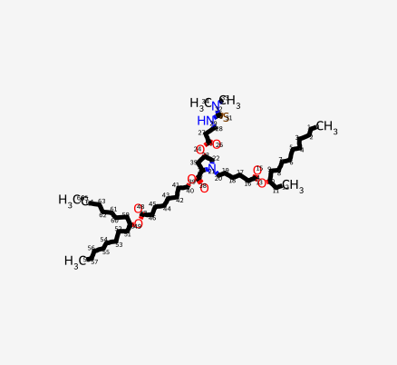 CCCCCCCCCCC(CC)OC(=O)CCCCCN1CC(OC(=O)CCNC(=S)N(C)C)CC1C(=O)OCCCCCCCC(=O)OC(CCCCCCCC)CCCCCCCC